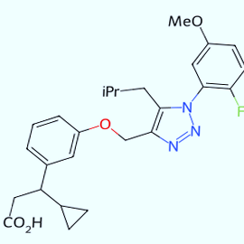 COc1ccc(F)c(-n2nnc(COc3cccc(C(CC(=O)O)C4CC4)c3)c2CC(C)C)c1